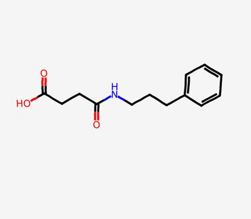 O=C(O)CCC(=O)NCCCc1ccccc1